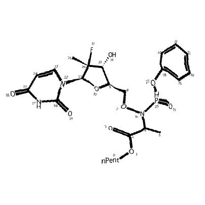 CCCCCOC(=O)C(C)N(OC[C@H]1O[C@@H](n2ccc(=O)[nH]c2=O)[C@](C)(F)[C@@H]1O)[PH](=O)Oc1ccccc1